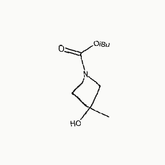 CC(C)COC(=O)N1CC(C)(O)C1